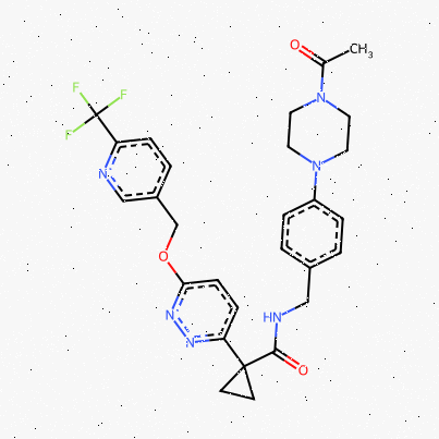 CC(=O)N1CCN(c2ccc(CNC(=O)C3(c4ccc(OCc5ccc(C(F)(F)F)nc5)nn4)CC3)cc2)CC1